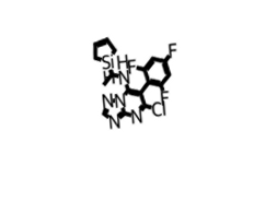 CC(Nc1c(-c2c(F)cc(F)cc2F)c(Cl)nc2ncnn12)[SiH]1CC=CC1